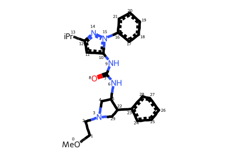 COCCN1CC(NC(=O)Nc2cc(C(C)C)nn2-c2ccccc2)C(c2ccccc2)C1